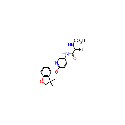 CCC(NC(=O)O)C(=O)Nc1ccc(Oc2cccc3c2C(C)(C)CO3)nc1